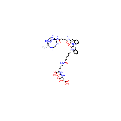 CC12CNCCNCC(NC(=O)CCCC(=O)N[C@@H](Cc3ccccc3)C(=O)N[C@@H](Cc3ccccc3)C(=O)NCCCCCCCC(=O)NCCCC[C@H](NC(=O)N[C@@H](CCC(=O)O)C(=O)O)C(=O)O)(CNCCNC1)CNCCNC2